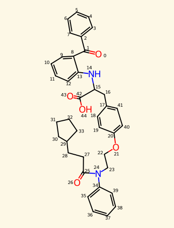 O=C(c1ccccc1)c1ccccc1NC(Cc1ccc(OCCN(C(=O)CCC2CCCC2)c2ccccc2)cc1)C(=O)O